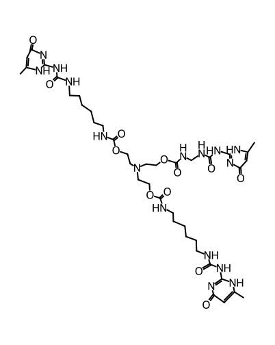 Cc1cc(=O)nc(NC(=O)NCCCCCCNC(=O)OCCN(CCOC(=O)NCCCCCCNC(=O)Nc2nc(=O)cc(C)[nH]2)CCOC(=O)NCNC(=O)Nc2nc(=O)cc(C)[nH]2)[nH]1